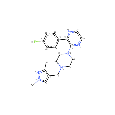 Cc1nn(C)cc1CN1CCN(c2nccnc2-c2ccc(F)cc2)CC1